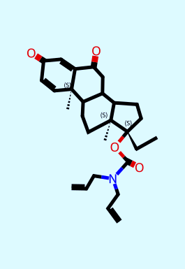 C=CCN(CC=C)C(=O)O[C@@]1(CC)CCC2C3CC(=O)C4=CC(=O)C=C[C@]4(C)C3CC[C@@]21C